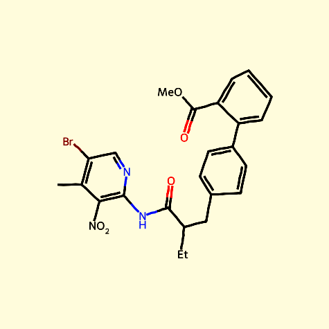 CCC(Cc1ccc(-c2ccccc2C(=O)OC)cc1)C(=O)Nc1ncc(Br)c(C)c1[N+](=O)[O-]